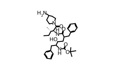 CC[C@H](C)[C@H](NC(=O)C(Cc1ccccc1)CC(O)C(Cc1ccccc1)NC(=O)OC(C)(C)C)C(=O)N1CCC(N)CC1